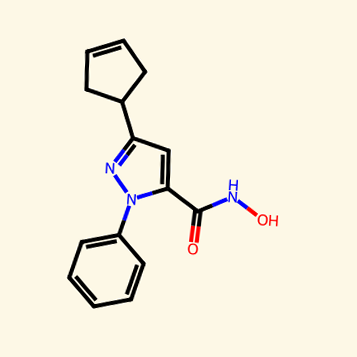 O=C(NO)c1cc(C2CC=CC2)nn1-c1ccccc1